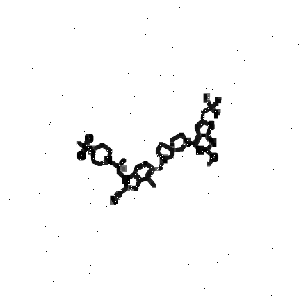 COc1nc(N2CCC3(CCN(Cc4ccc5c(cc(C#N)n5C[C@H](C)N5CCN(S(C)(=O)=O)CC5)c4C)C3)C2)c2cc(CC(F)(F)F)sc2n1